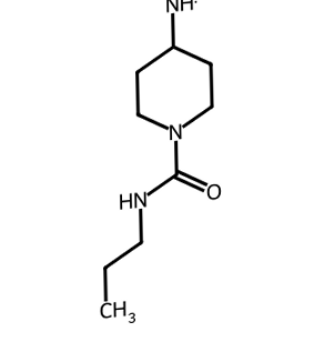 CCCNC(=O)N1CCC([NH])CC1